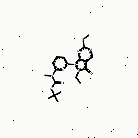 CCn1c(=O)c2cnc(SC)nc2n1-c1cccc(N(C)C(=O)OC(C)(C)C)n1